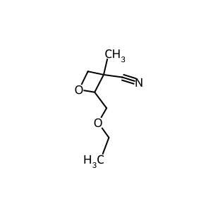 CCOCC1OCC1(C)C#N